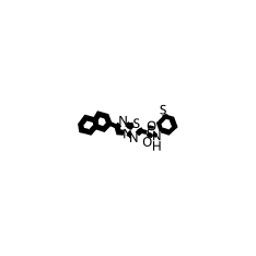 O=S(=O)(NC1=CC=CC(=S)C1)c1nn2cc(-c3ccc4ccccc4c3)nc2s1